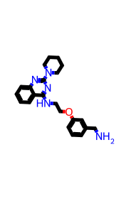 NCc1cccc(OCCNc2nc(N3CCCCC3)nc3ccccc23)c1